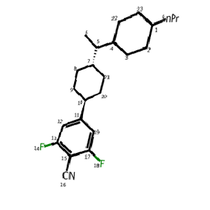 CCCC1CCC(C(C)[C@H]2CC[C@H](c3cc(F)c(C#N)c(F)c3)CC2)CC1